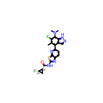 Cc1c(F)c(N(C)C)c2[nH]ncc2c1-c1ccc2nc(NC(=O)[C@@H]3C[C@@H]3F)sc2n1